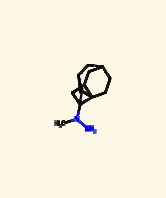 CN(N)C12CC3CC4CCC1(C3)C(C4)C2